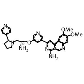 COc1cc2ncc3c(N)nc(-c4cncc(OC[C@@H](N)CN5CCCC5c5ccncc5)c4)cc3c2cc1OC